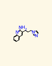 Nc1nc2ccccc2cc1CCCn1ccnc1